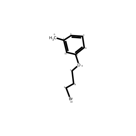 Cc1cccc(OCCCBr)c1